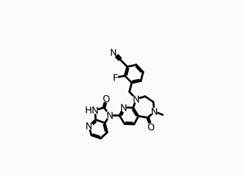 CN1CCN(Cc2cccc(C#N)c2F)c2nc(-n3c(=O)[nH]c4ncccc43)ccc2C1=O